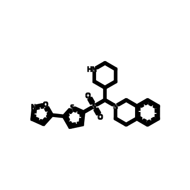 O=S(=O)(c1ccc(-c2ccno2)s1)C(C1CCCNC1)N1CCc2ccccc2C1